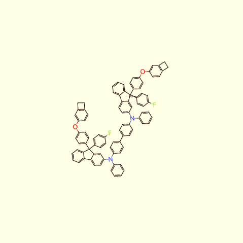 Fc1ccc(C2(c3ccc(Oc4ccc5c(c4)CC5)cc3)c3ccccc3-c3ccc(N(c4ccccc4)c4ccc(-c5ccc(N(c6ccccc6)c6ccc7c(c6)[C@@](c6ccc(F)cc6)(c6ccc(Oc8ccc9c(c8)CC9)cc6)c6ccccc6-7)cc5)cc4)cc32)cc1